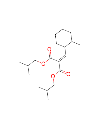 CC(C)COC(=O)C(=CC1CCCCC1C)C(=O)OCC(C)C